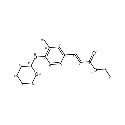 CCOC(=O)C=Cc1ccc(OC2CCCCO2)c(C)c1